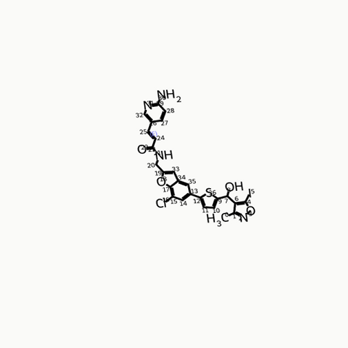 Cc1noc(I)c1C(O)c1ccc(-c2cc(Cl)c3oc(CNC(=O)/C=C/c4ccc(N)nc4)cc3c2)s1